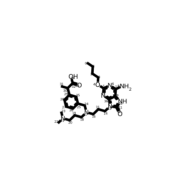 CCCCOc1nc(N)c2[nH]c(=O)n(CCCN(CCCN(C)C)Cc3cccc(C(C)C(=O)O)c3)c2n1